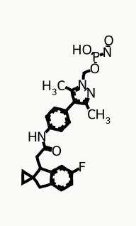 Cc1nn(COP(O)N=O)c(C)c1-c1ccc(NC(=O)CC2c3cc(F)ccc3CC23CC3)cc1